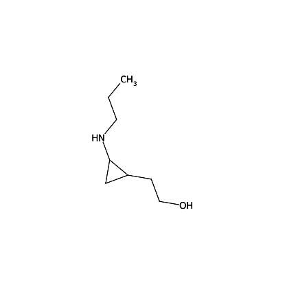 CCCNC1CC1CCO